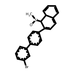 C[S+]([O-])C1C(c2ccc(-c3cccc(Br)c3)cc2)=CC=C2C=CC=CC21